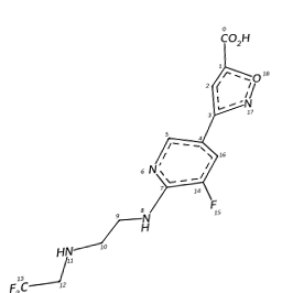 O=C(O)c1cc(-c2cnc(NCCNCC(F)(F)F)c(F)c2)no1